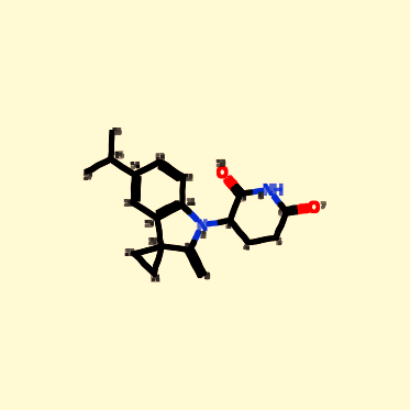 C=C1N(C2CCC(=O)NC2=O)c2ccc(C(C)C)cc2C12CC2